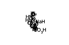 O=C(NNC(=O)[C@@H]1CC[C@@H]2CN1C(=O)N2OS(=O)(=O)O)Nc1ccccc1.[NaH]